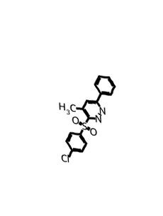 Cc1cc(-c2ccccc2)nnc1S(=O)(=O)c1ccc(Cl)cc1